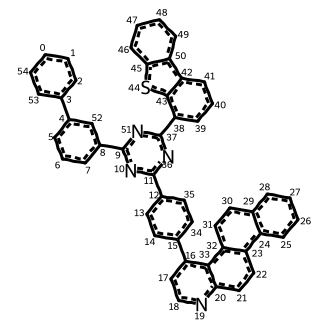 c1ccc(-c2cccc(-c3nc(-c4ccc(-c5ccnc6ccc7c8ccccc8ccc7c56)cc4)nc(-c4cccc5c4sc4ccccc45)n3)c2)cc1